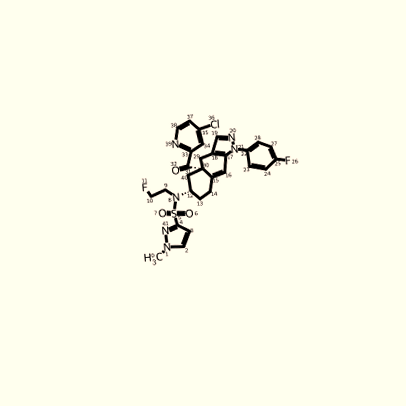 Cn1ccc(S(=O)(=O)N(CCF)[C@H]2CCC3=Cc4c(cnn4-c4ccc(F)cc4)C[C@]3(C(=O)c3cc(Cl)ccn3)C2)n1